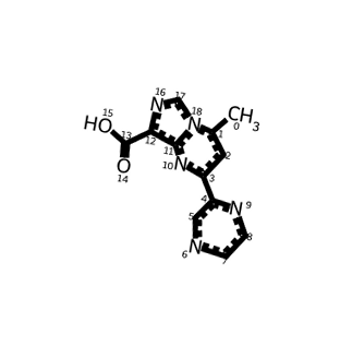 Cc1cc(-c2cnccn2)nc2c(C(=O)O)ncn12